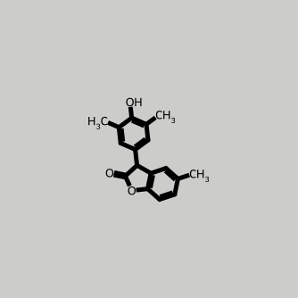 Cc1ccc2c(c1)C(c1cc(C)c(O)c(C)c1)C(=O)O2